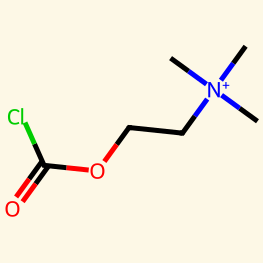 C[N+](C)(C)CCOC(=O)Cl